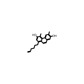 C=CCCCCc1cc(O)c(C)c2c1ccc1cc(O)c(C)cc12